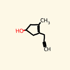 C#CCC1=C(C)CC(O)C1